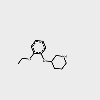 CCOc1ccccc1OC1CCCNC1